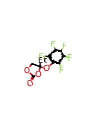 CCC1(Oc2c(F)c(F)c(F)c(F)c2F)COC(=O)O1